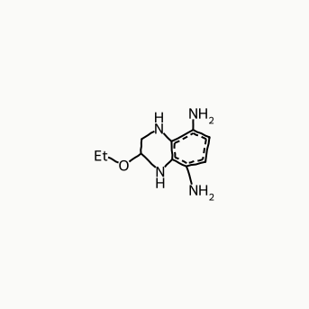 CCOC1CNc2c(N)ccc(N)c2N1